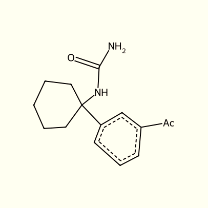 CC(=O)c1cccc(C2(NC(N)=O)CCCCC2)c1